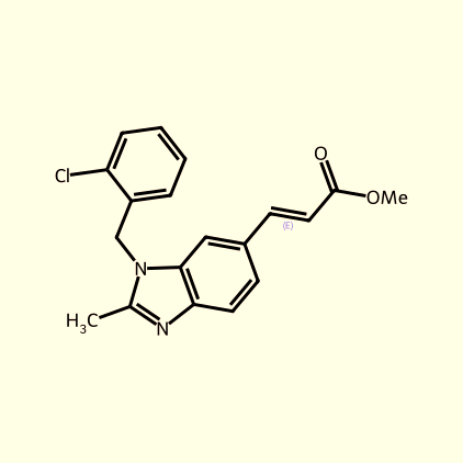 COC(=O)/C=C/c1ccc2nc(C)n(Cc3ccccc3Cl)c2c1